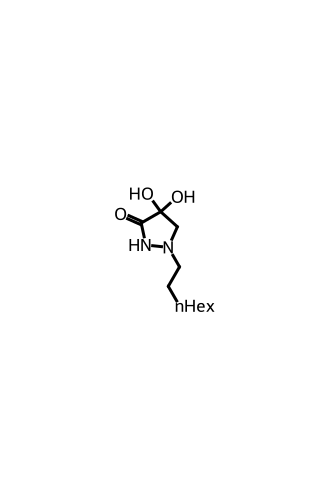 CCCCCCCCN1CC(O)(O)C(=O)N1